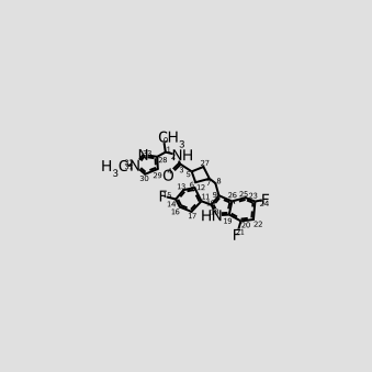 CC(NC(=O)C1CC(Cc2c(-c3ccc(F)cc3)[nH]c3c(F)cc(F)cc23)C1)c1ccn(C)n1